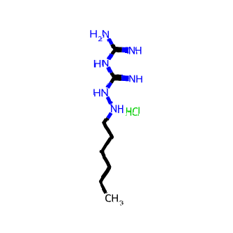 CCCCCCNNC(=N)NC(=N)N.Cl